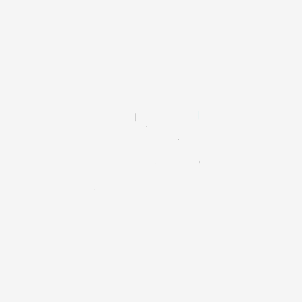 [CH2]CCC([CH2])(C)F